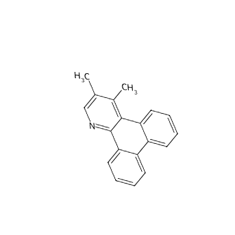 Cc1cnc2c3ccccc3c3ccccc3c2c1C